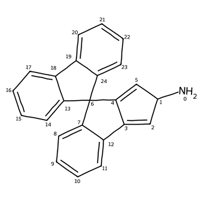 NC1C=C2C(=C1)C1(c3ccccc32)c2ccccc2-c2ccccc21